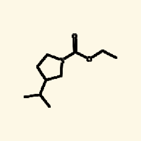 CCOC(=O)N1CCC(C(C)C)C1